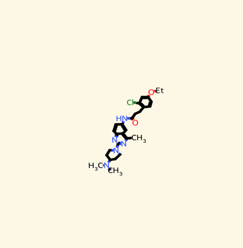 CCOc1ccc(CCC(=O)Nc2ccc3nc(N4CCC(N(C)C)CC4)nc(C)c3c2)c(Cl)c1